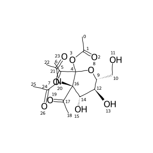 CC(=O)OC1(C(C)=O)O[C@H](CO)[C@@H](O)[C@H](O)[C@@]1(C(C)=O)N(C(C)=O)C(C)=O